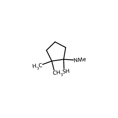 CNC1(S)CCCC1(C)C